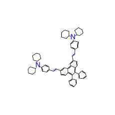 C(=C\c1ccc2c(-c3ccccc3)c(-c3ccccc3)c3ccc(/C=C/c4ccc(N(C5CCCCC5)C5CCCCC5)cc4)cc3c2c1)/c1ccc(N(C2CCCCC2)C2CCCCC2)cc1